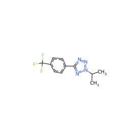 CC(C)n1nnc(-c2ccc(C(F)(F)F)cc2)n1